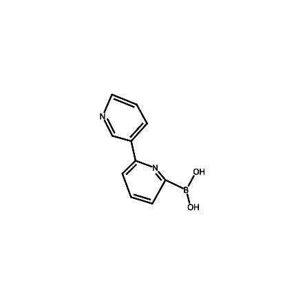 OB(O)c1cccc(-c2cccnc2)n1